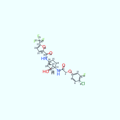 O=C(COc1ccc(Cl)c(F)c1)NC12CCC(NC(=O)c3ccc(C(F)(F)F)o3)(CC1)C[C@@H]2O